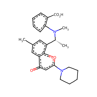 Cc1cc([C@@H](C)N(C)c2ccccc2C(=O)O)c2oc(N3CCCCC3)cc(=O)c2c1